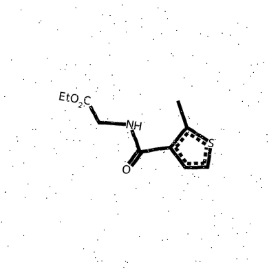 CCOC(=O)CNC(=O)c1ccsc1C